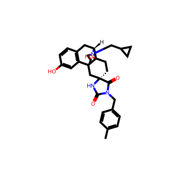 Cc1ccc(CN2C(=O)N[C@]3(CC[C@@]4(O)[C@H]5Cc6ccc(O)cc6[C@@]4(CCN5CC4CC4)C3)C2=O)cc1